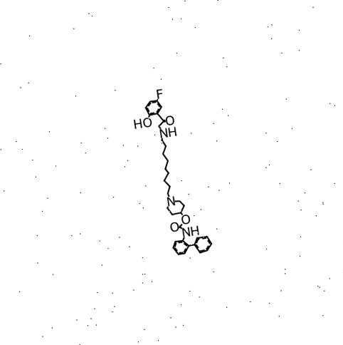 O=C(Nc1ccccc1-c1ccccc1)OC1CCN(CCCCCCCCCNCC(=O)c2cc(F)ccc2O)CC1